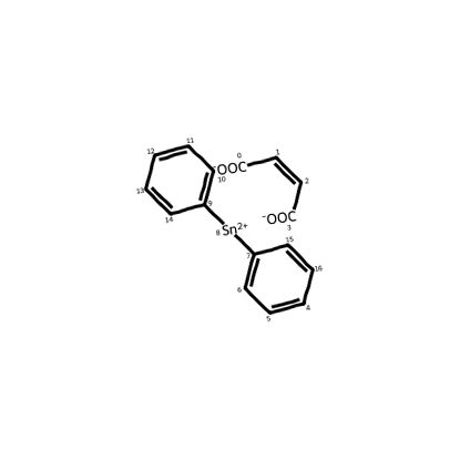 O=C([O-])/C=C\C(=O)[O-].c1cc[c]([Sn+2][c]2ccccc2)cc1